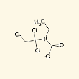 CCN(C([O])=O)C(Cl)(Cl)CCl